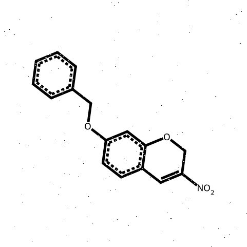 O=[N+]([O-])C1=Cc2ccc(OCc3ccccc3)cc2OC1